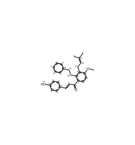 COc1ccc(C(=O)/C=C/c2ccc(O)cc2)c(OCc2ccccc2)c1CC=C(C)C